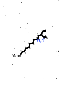 C=CC(CCCCCCCCCCCCCCCCCC)C(=C)N